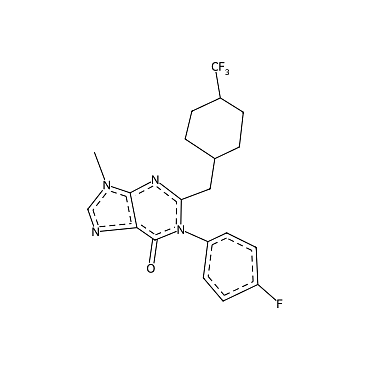 Cn1cnc2c(=O)n(-c3ccc(F)cc3)c(CC3CCC(C(F)(F)F)CC3)nc21